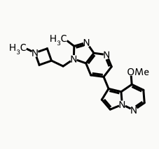 COc1ccnn2ccc(-c3cnc4nc(C)n(CC5CN(C)C5)c4c3)c12